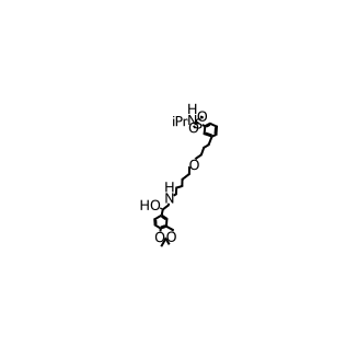 CC(C)NS(=O)(=O)c1cccc(CCCCOCCCCCCNC[C@H](O)c2ccc3c(c2)COC(C)(C)O3)c1